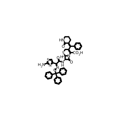 Nc1nc(C(=NOC(c2ccccc2)(c2ccccc2)c2ccccc2)C(=O)N[C@@H]2C(=O)N3C(C(=O)O)=C(C(=C4CCCNC4=O)c4ccccc4)CS[C@H]23)cs1